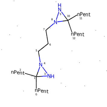 CCCCCC1(CCCCC)NN1CCCN1NC1(CCCCC)CCCCC